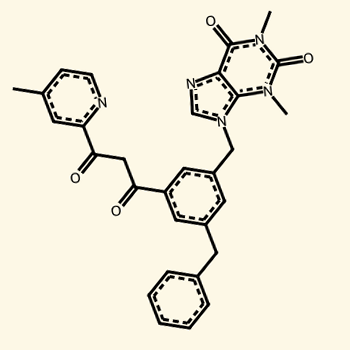 Cc1ccnc(C(=O)CC(=O)c2cc(Cc3ccccc3)cc(Cn3cnc4c(=O)n(C)c(=O)n(C)c43)c2)c1